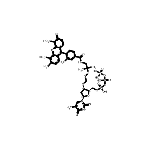 Cc1cn([C@H]2C[C@@H](OCSSC(C)(C)CNC(=O)c3ccc(-c4c5ccc(=N)c(S(=O)(=O)O)c-5oc5c(S(=O)(=O)O)c(N)ccc45)c(C(=O)O)c3)[C@@H](COP(=O)(O)OP(=O)(O)OP(=O)(O)O)O2)c(=O)[nH]c1=O